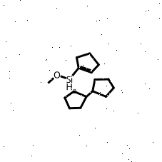 C1CCC(C2CCCC2)C1.CO[SiH2]C1=CCCC1